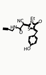 C#CCNC(=O)/C(C#N)=c1\s/c(=C\c2ccc(O)cc2)c(=O)n1CC